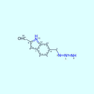 N=[N+]=NCc1ccc2cc(C=O)[nH]c2c1